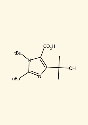 CCCCc1nc(C(C)(C)O)c(C(=O)O)n1C(C)(C)C